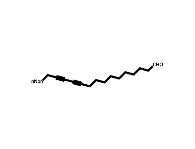 CCCCCCCCCCC#CC#CCCCCCCCCCC=O